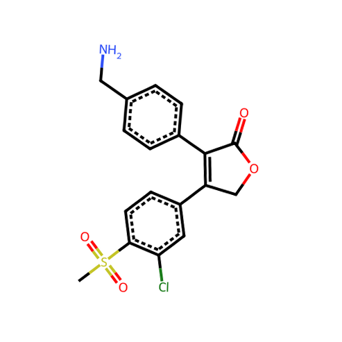 CS(=O)(=O)c1ccc(C2=C(c3ccc(CN)cc3)C(=O)OC2)cc1Cl